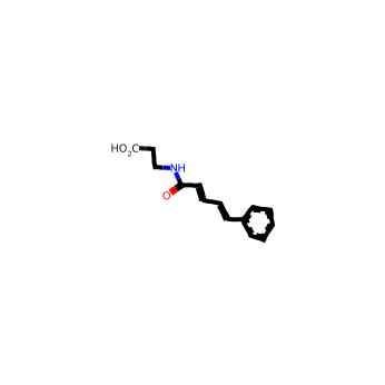 O=C(O)CCNC(=O)C=CC=Cc1ccccc1